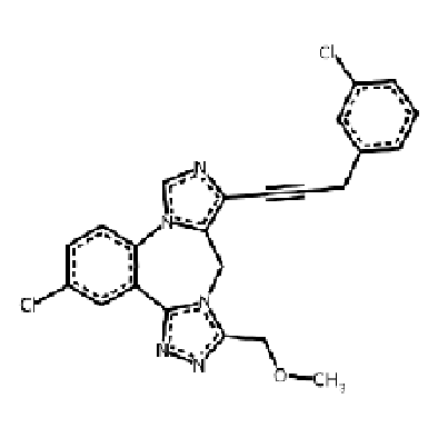 COCc1nnc2n1Cc1c(C#CCc3cccc(Cl)c3)ncn1-c1ccc(Cl)cc1-2